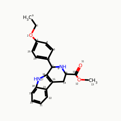 CCOc1ccc(C2NC(C(=O)OC)Cc3c2[nH]c2ccccc32)cc1